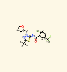 CC(C)(C)c1nn(C[C@H]2CCCO2)/c(=N/C(=O)c2cc(C(F)(F)F)ccc2F)s1